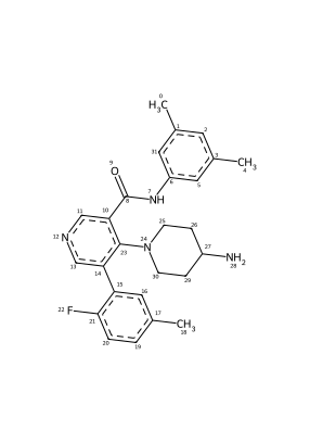 Cc1cc(C)cc(NC(=O)c2cncc(-c3cc(C)ccc3F)c2N2CCC(N)CC2)c1